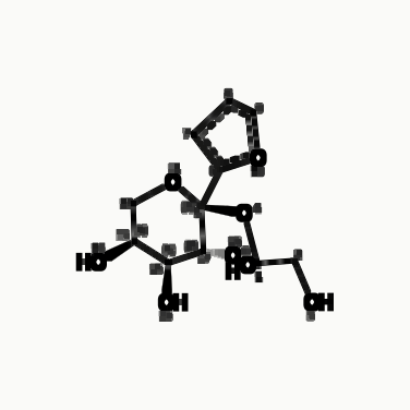 O=C(CO)O[C@]1(c2ccco2)OC[C@H](O)[C@H](O)[C@H]1O